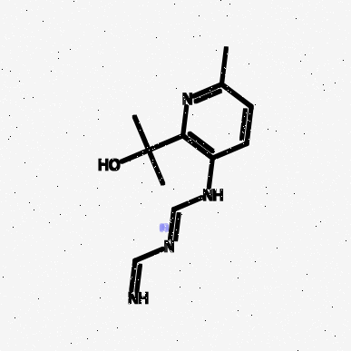 Cc1ccc(N/C=N/C=N)c(C(C)(C)O)n1